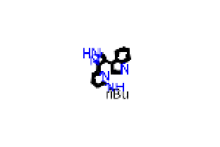 CCCCNc1cccc(-c2n[nH]cc2-c2ccnc3ccccc23)n1